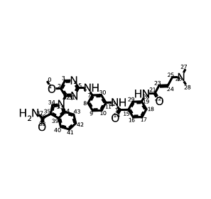 COc1cnc(Nc2cccc(NC(=O)c3cccc(NC(=O)C=CCN(C)C)c3)c2)nc1-n1cc(C(N)=O)c2ccccc21